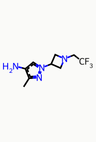 Cc1nn(C2CN(CC(F)(F)F)C2)cc1N